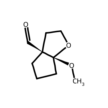 CO[C@@]12CCC[C@]1(C=O)CCO2